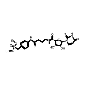 CCOP(=O)(Cc1ccc(NC(=O)CCCNC(=O)[C@H]2O[C@@H](n3ccc(=O)[nH]c3=O)[C@H](O)[C@@H]2O)cc1)OCC